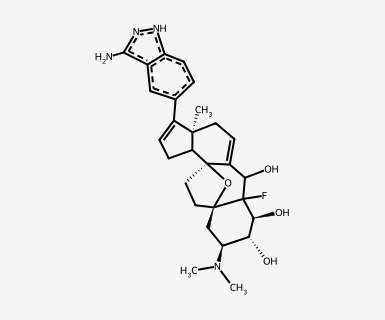 CN(C)[C@H]1C[C@@]23CC[C@@]4(O2)C(=CC[C@]2(C)C(c5ccc6[nH]nc(N)c6c5)=CCC24)C(O)C3(F)[C@@H](O)[C@@H]1O